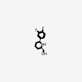 OC[C@H]1CCC[C@@H](c2ccc(F)c(F)c2)N1